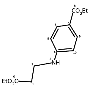 CCOC(=O)CCNc1ccc(C(=O)OCC)cc1